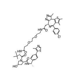 CC1=NN=C2C1c1sc(C)c(C)c1C(c1ccc(Cl)cc1)=N[C@H]2CC(=O)NCCOCCOCCC(=O)N[C@H](C(=O)N1C[C@H](O)CC1C(=O)N[C@@H](C)c1ccc(-c2scnc2C)cc1)C(C)(C)C